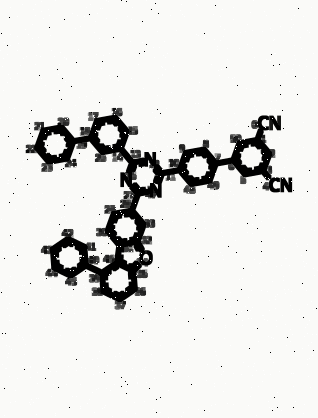 N#Cc1cc(C#N)cc(-c2ccc(-c3nc(-c4cccc(-c5ccccc5)c4)nc(-c4ccc5c(c4)oc4cccc(-c6ccccc6)c45)n3)cc2)c1